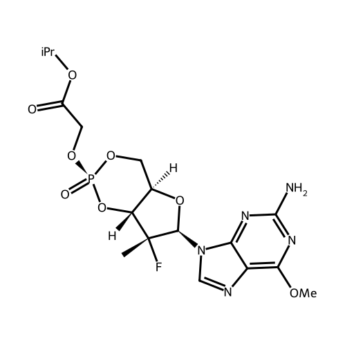 COc1nc(N)nc2c1ncn2[C@@H]1O[C@@H]2CO[P@](=O)(OCC(=O)OC(C)C)O[C@H]2[C@@]1(C)F